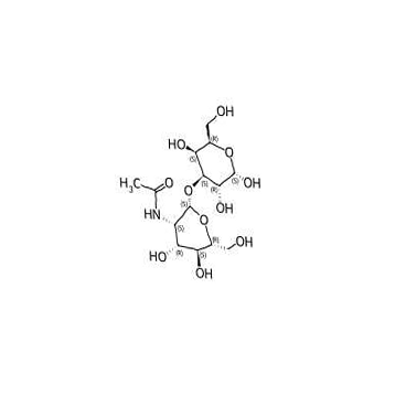 CC(=O)N[C@@H]1[C@H](O[C@@H]2[C@@H](O)[C@@H](O)O[C@H](CO)[C@@H]2O)O[C@H](CO)[C@@H](O)[C@@H]1O